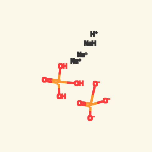 O=P(O)(O)O.O=P([O-])([O-])[O-].[H+].[Na+].[Na+].[NaH]